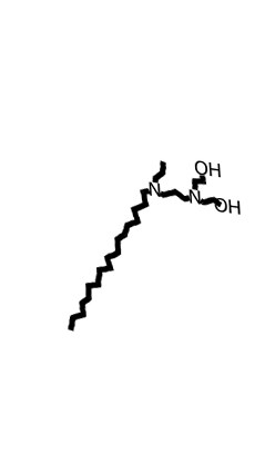 CCCCCCCCCCCCCCCCCCN(CCC)CCCN(CCO)CCO